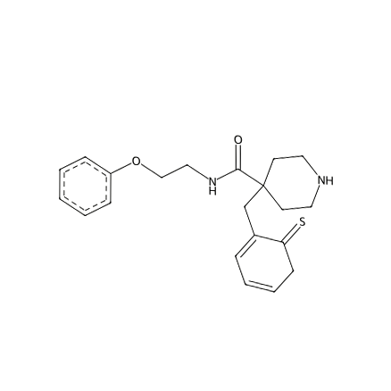 O=C(NCCOc1ccccc1)C1(CC2=CC=CCC2=S)CCNCC1